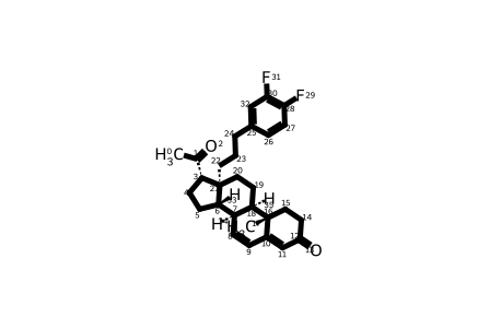 CC(=O)[C@H]1CC[C@H]2[C@@H]3C=CC4=CC(=O)CC[C@@]4(C)[C@@H]3CC[C@]12CCCc1ccc(F)c(F)c1